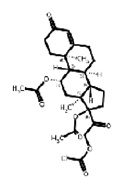 CC(=O)O[C@H]1C[C@@]2(C)[C@@H](CC[C@]2(OC(C)=O)C(=O)COC(=O)Cl)[C@@H]2CCC3=CC(=O)CC[C@]3(C)[C@H]21